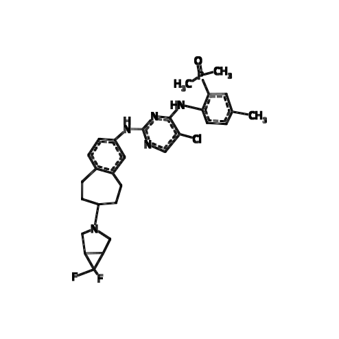 Cc1ccc(Nc2nc(Nc3ccc4c(c3)CCC(N3CC5C(C3)C5(F)F)CC4)ncc2Cl)c(P(C)(C)=O)c1